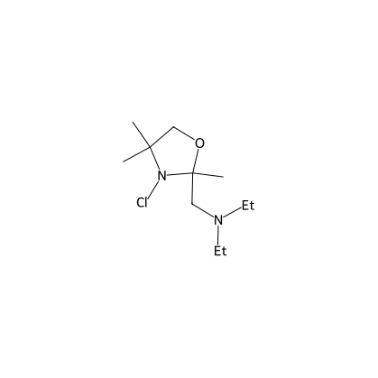 CCN(CC)CC1(C)OCC(C)(C)N1Cl